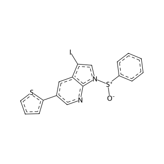 [O-][S+](c1ccccc1)n1cc(I)c2cc(-c3cccs3)cnc21